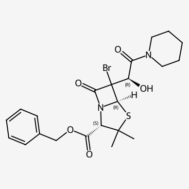 CC1(C)S[C@H]2N(C(=O)C2(Br)[C@H](O)C(=O)N2CCCCC2)[C@H]1C(=O)OCc1ccccc1